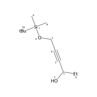 CCC(O)C#CCO[Si](C)(C)C(C)(C)C